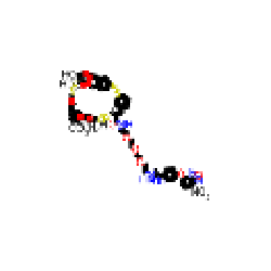 O=C(NCCOCCOCCOCCN1C=C(c2ccc(Oc3ccc([N+](=O)[O-])c4nonc34)cc2)NN1)c1cc2cccc3c2cc1SSc1ccc2c(c1)C1c4ccc(cc4C2C(C(=O)O)C1C(=O)O)SSc1ccc2c(c1)C1c4ccc(cc4C2C(C(=O)O)C1C(=O)O)SS3